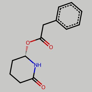 O=C1CCC[C@H](OC(=O)Cc2ccccc2)N1